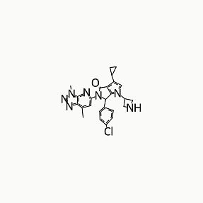 Cc1cc(N2C(=O)c3c(C4CC4)cn(C4CNC4)c3C2c2ccc(Cl)cc2)nc2c1nnn2C